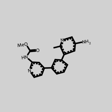 COC(=O)Nc1cc(-c2cccc(-c3cc(N)cnc3C)c2)ccn1